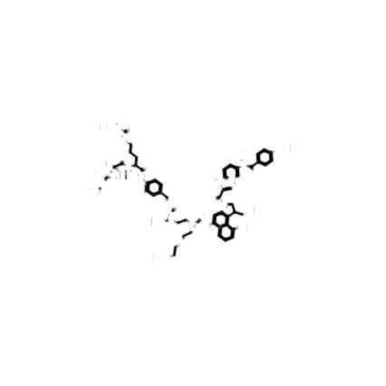 Cc1ccc(C(=O)Nc2ccc3nc(C(=O)N4CC(CCl)c5c4cc(OC(=O)N(CCOCCO)CCN(C)C(=O)OCc4ccc(NC(=O)C(CCCNC(N)=O)NC(=O)[C@@H](NC(=O)OC(C)(C)C)C(C)C)cc4)c4cccc(C)c54)cn3c2)cc1